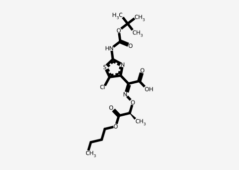 CCCCOC(=O)[C@H](C)O/N=C(\C(=O)O)c1nc(NC(=O)OC(C)(C)C)sc1Cl